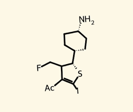 CC(=O)C1=C(I)S[C@@H]([C@H]2CC[C@@H](N)CC2)C1CF